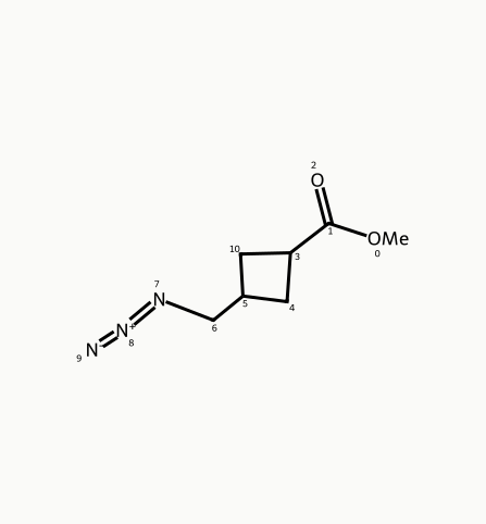 COC(=O)C1CC(CN=[N+]=[N-])C1